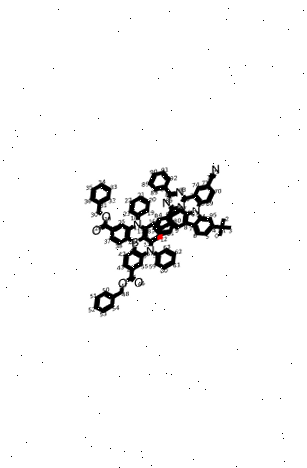 CC(C)(C)c1ccc2c3cc(-c4cc5c6c(c4)N(c4ccccc4)c4cc(C(=O)OCc7ccccc7)ccc4B6c4ccc(C(=O)OCc6ccccc6)cc4N5c4ccccc4)ccc3n(-c3ccc(C#N)cc3-c3nc(-c4ccccc4)nc(-c4ccccc4)n3)c2c1